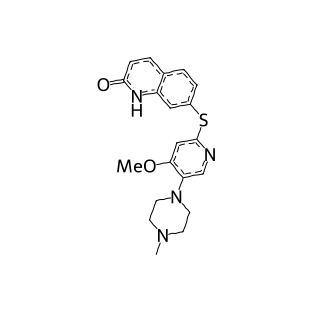 COc1cc(Sc2ccc3ccc(=O)[nH]c3c2)ncc1N1CCN(C)CC1